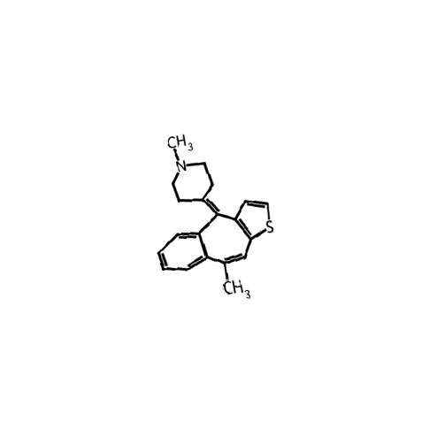 CC1=Cc2sccc2C(=C2CCN(C)CC2)c2ccccc21